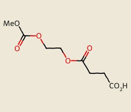 COC(=O)OCCOC(=O)CCC(=O)O